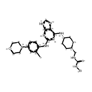 CCNC(=O)NC[C@H]1CC[C@H](Nc2nc(Nc3ccc(N4CCOCC4)cc3C)nc3[nH]cnc23)CC1